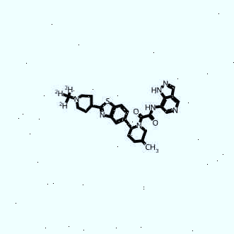 [2H]C([2H])([2H])N1CCC(c2nc3cc(C4CCC(C)CN4C(=O)C(=O)Nc4cncc5cn[nH]c45)ccc3s2)CC1